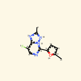 Cc1nc2c(F)cnc(-c3ccc(C)o3)n2n1